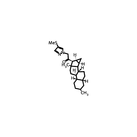 CSc1cnn(CC(=O)[C@H]2[C@H]3C[C@H]3C3[C@@H]4CC[C@@H]5C[C@@H](C)CC[C@@H]5[C@H]4CC[C@@]32C)c1